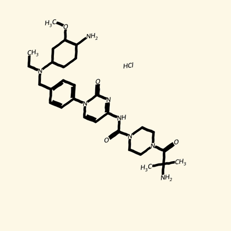 CCN(Cc1ccc(-n2ccc(NC(=O)N3CCN(C(=O)C(C)(C)N)CC3)nc2=O)cc1)C1CCC(N)C(OC)C1.Cl